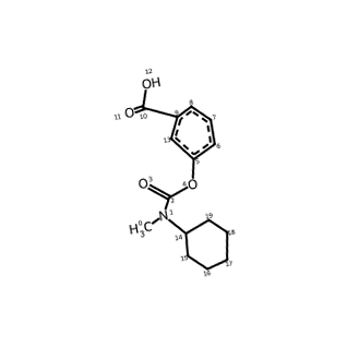 CN(C(=O)Oc1cccc(C(=O)O)c1)C1CCCCC1